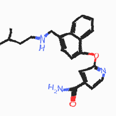 CC(C)CCNCc1ccc(Oc2cc(C(N)=O)ccn2)c2ccccc12